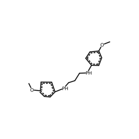 COc1ccc(PCCCPc2ccc(OC)cc2)cc1